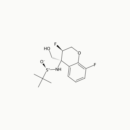 CC(C)(C)[S@@+]([O-])N[C@]1(CO)c2cccc(F)c2OC[C@@H]1F